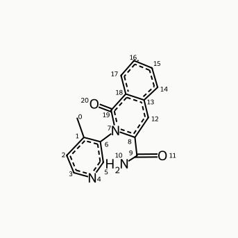 Cc1ccncc1-n1c(C(N)=O)cc2cc[c]cc2c1=O